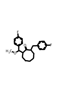 COC(c1ccc(F)cc1)C1CCCCCC(Cc2ccc(F)cc2)C1=O